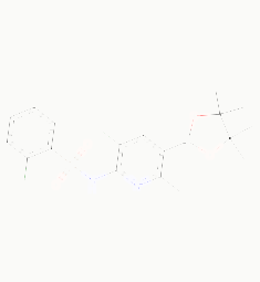 Cc1nc(NS(=O)(=O)c2ccccc2Cl)c(F)cc1B1OC(C)(C)C(C)(C)O1